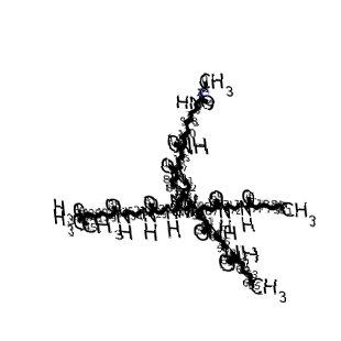 C/C=C/C(=O)NCCCCCCNC(=O)CCCC(=O)N1CCN(c2nc(NCCC(=O)NCCCNC(=O)CCCCC(C)(C)C)nc(N(CCC(=O)NCCCNC(=O)CCCCC)CCC(=O)NCCCNC(=O)CCCCC)n2)CC1